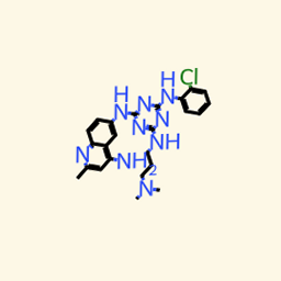 Cc1cc(N)c2cc(Nc3nc(NCCCN(C)C)nc(Nc4ccccc4Cl)n3)ccc2n1